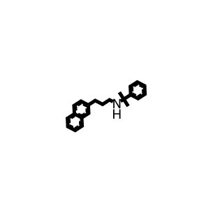 CC(C)(NCCCc1ccc2ccccc2c1)c1ccccc1